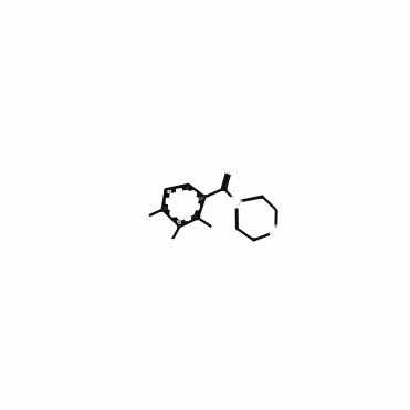 O=C(c1ccc(O)c(Cl)c1Cl)N1CCOCC1